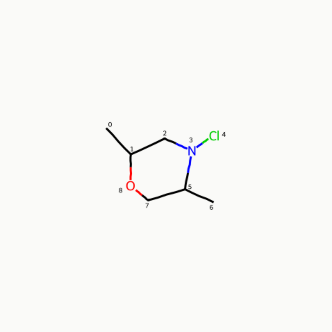 CC1CN(Cl)C(C)CO1